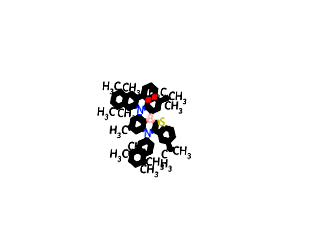 Cc1cc2c3c(c1)N(c1ccc4c(c1)C(C)(C)CCC4(C)C)c1c(sc4ccc(C(C)C)cc14)B3c1cc(C(C)(C)C)ccc1N2c1cc2c(cc1-c1ccccc1)C(C)(C)CCC2(C)C